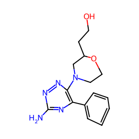 Nc1nnc(N2CCOC(CCO)C2)c(-c2ccccc2)n1